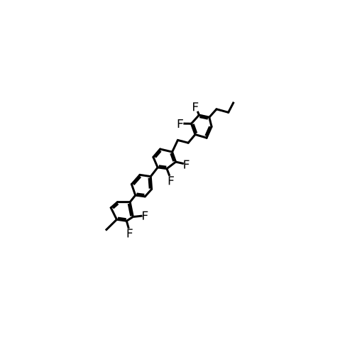 CCCc1ccc(CCc2ccc(-c3ccc(-c4ccc(C)c(F)c4F)cc3)c(F)c2F)c(F)c1F